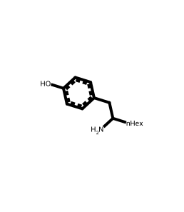 CCCCCCC(N)Cc1ccc(O)cc1